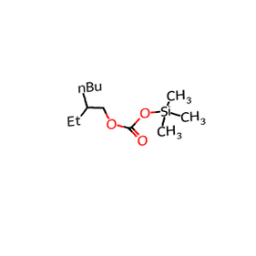 CCCCC(CC)COC(=O)O[Si](C)(C)C